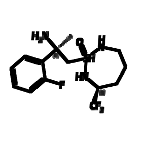 C[C@](N)(C[SH]1(=O)NCCC[C@@H](C(F)(F)F)N1)c1ccccc1F